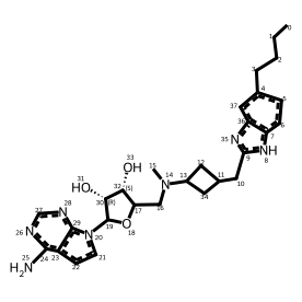 CCCCc1ccc2[nH]c(CC3CC(N(C)CC4OC(n5ccc6c(N)ncnc65)[C@H](O)[C@@H]4O)C3)nc2c1